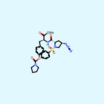 COC(=O)[C@H](Cc1ccc(OC(=O)N2CCCC2)cc1)NC(=O)[C@@H]1C[C@@H](N=[N+]=[N-])CN1S(=O)(=O)c1ccccc1